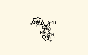 CC(CC(=O)C1C(C)C=CCC1(C)C)SCC(=O)OCC(COC(=O)CS)(COC(=O)CS)COC(=O)CSC(C)CC(=O)C1C(C)C=CCC1(C)C